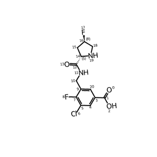 O=C(O)c1cc(Cl)c(F)c(CNC(=O)[C@@H]2C[C@@H](F)CN2)c1